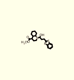 COC(=O)C1CCN(C(O)CCc2nc3ccccc3s2)C2CCCCC12